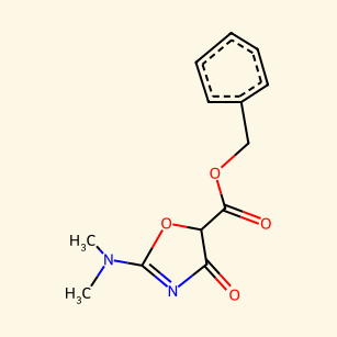 CN(C)C1=NC(=O)C(C(=O)OCc2ccccc2)O1